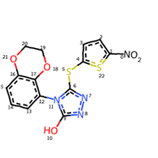 O=[N+]([O-])c1ccc(Sc2nnc(O)n2-c2cccc3c2OCCO3)s1